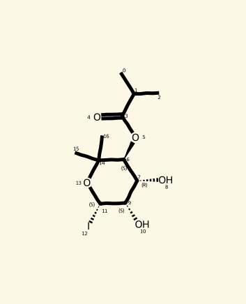 CC(C)C(=O)O[C@H]1[C@H](O)[C@H](O)[C@H](I)OC1(C)C